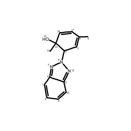 CC1=CC(n2nc3ccccc3n2)C(C)(O)C=C1